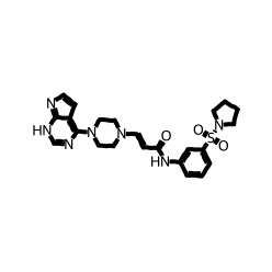 O=C(C=CN1CCN(c2nc[nH]c3nccc2-3)CC1)Nc1cccc(S(=O)(=O)N2CCCC2)c1